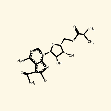 CC(C)C(=O)OC[C@@H]1O[C@H](n2cnc(N)c3c(C(N)=O)c(Br)nc2-3)[C@H](O)[C@H]1O